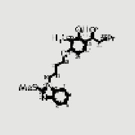 CSc1nc2ccccc2n1CCCCOc1ccc(C(=O)CC(C)C)c(O)c1C